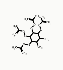 C=C(C)OOC1C(C)C(C)C(OOC(=C)C)C(OOC(=C)C)C1OOC(=C)C